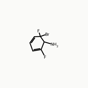 NC1C(F)=CC=CC1(F)Br